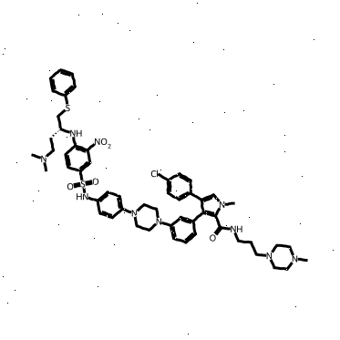 CN(C)CC[C@H](CSc1ccccc1)Nc1ccc(S(=O)(=O)Nc2ccc(N3CCN(c4cccc(-c5c(-c6ccc(Cl)cc6)cn(C)c5C(=O)NCCCN5CCN(C)CC5)c4)CC3)cc2)cc1[N+](=O)[O-]